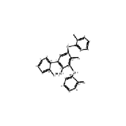 Cc1ccccc1Oc1cc(-c2ccccc2C)c(N)c(Oc2ccccc2C)c1C